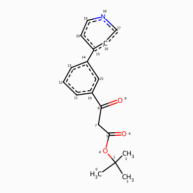 CC(C)(C)OC(=O)CC(=O)c1cccc(-c2ccncc2)c1